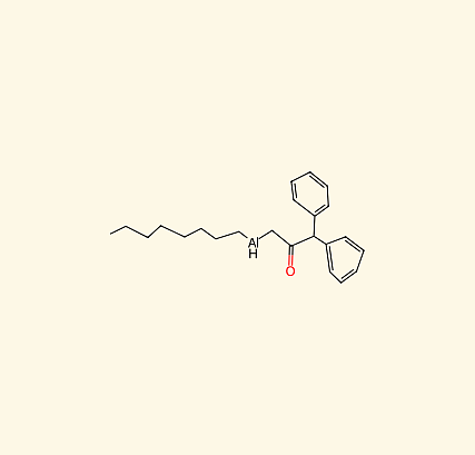 CCCCCCC[CH2][AlH][CH2]C(=O)C(c1ccccc1)c1ccccc1